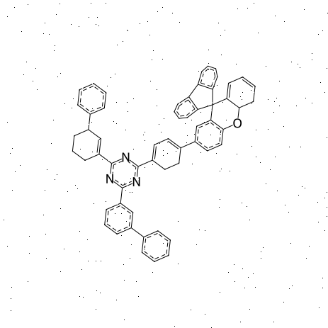 C1=CCC2Oc3ccc(C4=CC=C(c5nc(C6=CC(c7ccccc7)CCC6)nc(-c6cccc(-c7ccccc7)c6)n5)CC4)cc3C3(C2=C1)c1ccccc1-c1ccccc13